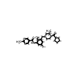 Cc1ncc(C(=O)Nc2cc(F)cc(CN3CCN(C(=O)C4CCCC4)[C@@H](C)C3)c2C)cn1